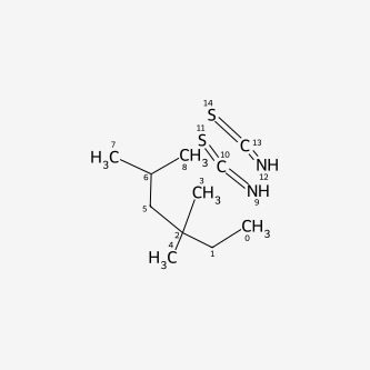 CCC(C)(C)CC(C)C.N=C=S.N=C=S